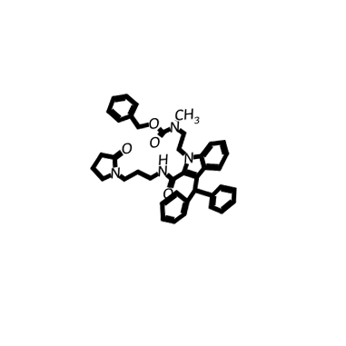 CN(CCn1c(C(=O)NCCCN2CCCC2=O)c(C(c2ccccc2)c2ccccc2)c2ccccc21)C(=O)OCc1ccccc1